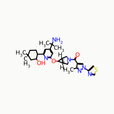 Cc1nn(-c2cscn2)cc1C(=O)N1C[C@@H]2C(Oc3cc(C(C)(C)N)cc(C4CCC(C)(C)CC4O)n3)[C@@H]2C1